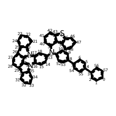 c1ccc(-c2ccc(-c3ccc(N(c4ccc5c(c4)n4c6ccccc6c6ccc7c8ccccc8n5c7c64)c4cccc5sc6ccccc6c45)cc3)cc2)cc1